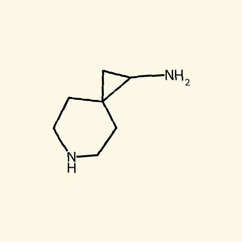 NC1CC12CCNCC2